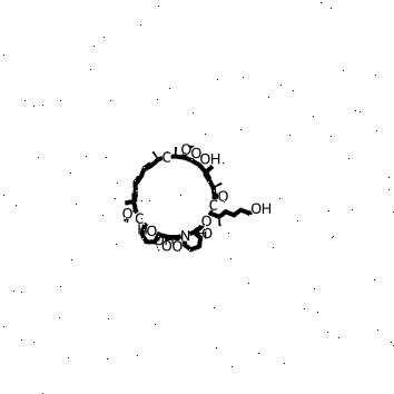 CO[C@H]1C[C@@H]2CC[C@@H](C)[C@@](O)(O2)C(=O)C(=O)N2CCCC[C@H]2C(=O)O[C@H]([C@H](C)CCCCO)CC(=O)[C@H](C)/C=C(\C)[C@@H](O)[C@@H](OC)C(=O)[C@H](C)C[C@H](C)/C=C/C=C/C=C/1C